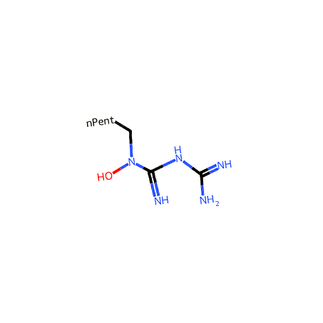 CCCCCCN(O)C(=N)NC(=N)N